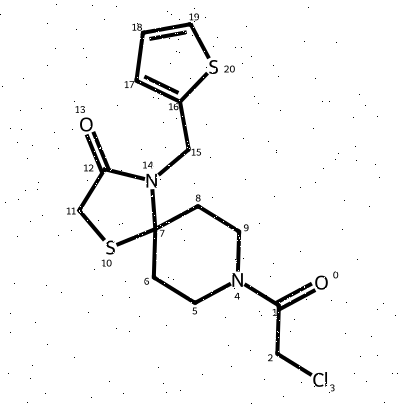 O=C(CCl)N1CCC2(CC1)SCC(=O)N2Cc1cccs1